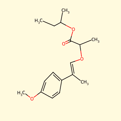 CCC(C)OC(=O)C(C)OC=C(C)c1ccc(OC)cc1